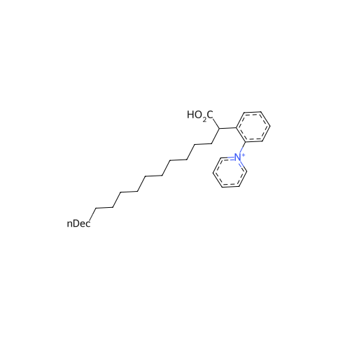 CCCCCCCCCCCCCCCCCCCCC(C(=O)O)c1ccccc1-[n+]1ccccc1